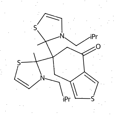 CC(C)CN1C=CSC1(C)C1(C2(C)SC=CN2CC(C)C)CC(=O)c2cscc2C1